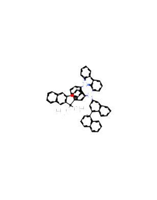 CC1(C)c2cc(N(c3cc(-c4cccc5ccccc45)c4ccccc4c3)c3cccc4c5ccccc5n(-c5ccccc5)c34)ccc2-c2cc3ccccc3cc21